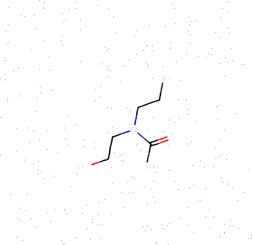 CC(C)CCN(CCO)C(=O)C(C)(C)C